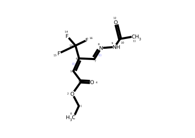 CCOC(=O)/C=C(\C=N\NC(C)=O)C(F)(F)F